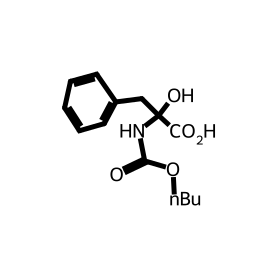 CCCCOC(=O)NC(O)(Cc1ccccc1)C(=O)O